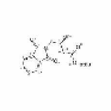 CC(C)[C@H](CN1C(=O)c2ccccc2C1=O)NC(=O)OC(C)(C)C